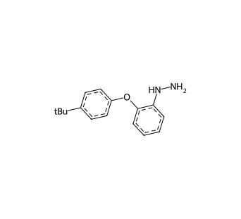 CC(C)(C)c1ccc(Oc2ccccc2NN)cc1